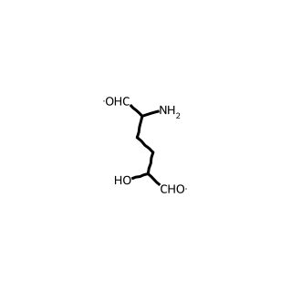 NC([C]=O)CCC(O)[C]=O